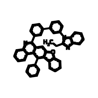 CCc1nc2ccccc2n1-c1cccc(-c2cccc(-c3nc4ccccc4c4c(-c5ccccc5)c5c(cc34)oc3ccccc35)c2)c1